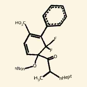 CCCCCCCCCOC1(C(=O)C(C)CCCCCCC)C=CC(C(=O)O)=C(c2ccccc2)C1(F)F